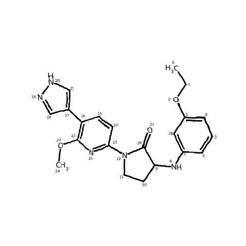 CCOc1cccc(NC2CCN(c3ccc(-c4cn[nH]c4)c(OC)n3)C2=O)c1